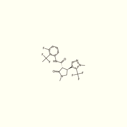 CN1C[C@H](c2cnn(C)c2C(F)(F)F)[C@@H](C(=O)Nc2cccc(F)c2C(C)(F)F)C1=O